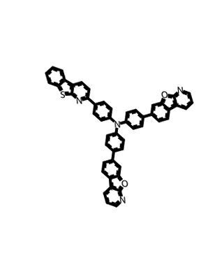 c1ccc2c(c1)sc1nc(-c3ccc(N(c4ccc(-c5ccc6c(c5)oc5ncccc56)cc4)c4ccc(-c5ccc6c(c5)oc5ncccc56)cc4)cc3)ccc12